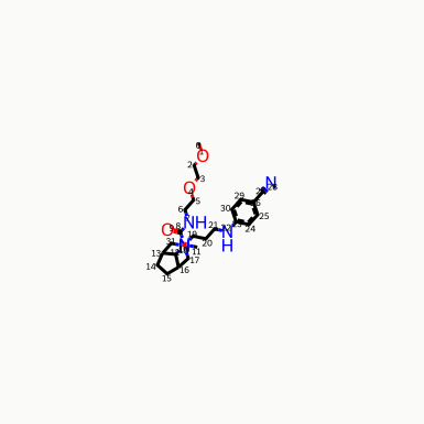 COCCOCCNC(=O)N(C)C1C2CCC1CN(CCCNc1ccc(C#N)cc1)C2